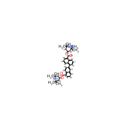 CC1(C)CC(OC(=O)c2cccc3cc(-c4cccc5c(C(=O)OC6CC(C)(C)NC(C)(C)C6)cccc45)ccc23)CC(C)(C)N1